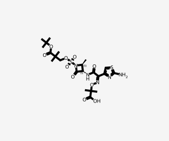 C[C@H]1[C@H](NC(=O)C(=NOC(C)(C)C(=O)O)c2csc(N)n2)C(=O)N1S(=O)(=O)OCC(C)(C)C(=O)OC(C)(C)C